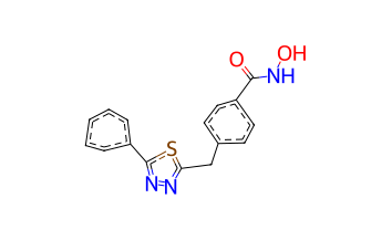 O=C(NO)c1ccc(Cc2nnc(-c3ccccc3)s2)cc1